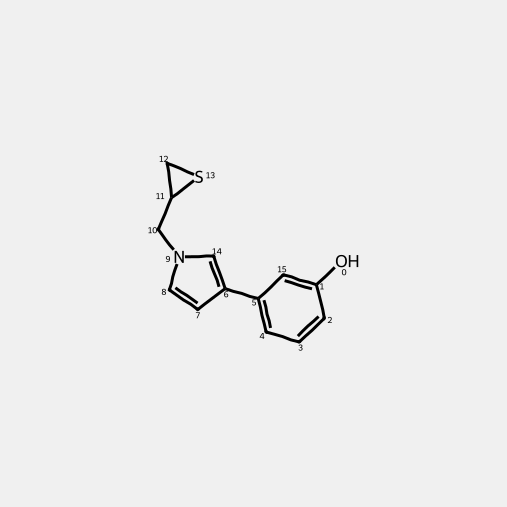 Oc1cccc(-c2ccn(CC3CS3)c2)c1